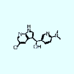 CN(C)c1ccc(C(O)c2c[nH]c3ncc(Cl)cc23)cn1